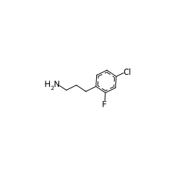 NCCCc1ccc(Cl)cc1F